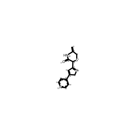 C=C1CSC(C2=NCC(c3ccncc3)=C2)C(=O)N1